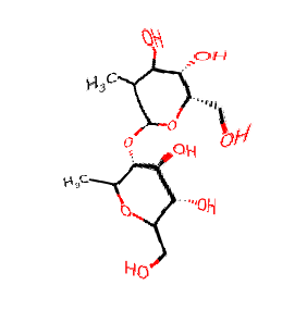 CC1C(O)[C@H](O)[C@H](CO)O[C@H]1O[C@H]1C(C)OC(CO)[C@@H](O)[C@@H]1O